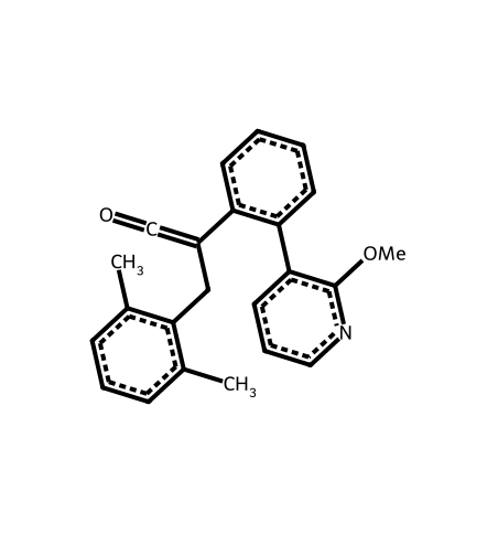 COc1ncccc1-c1ccccc1C(=C=O)Cc1c(C)cccc1C